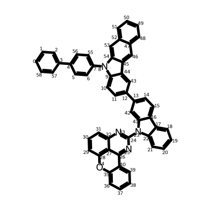 c1ccc(-c2ccc(-n3c4ccc(-c5ccc6c7ccccc7n(-c7nc8c9c(cccc9n7)Oc7ccccc7-8)c6c5)cc4c4cc5ccccc5cc43)cc2)cc1